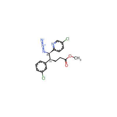 COC(=O)CC[C@@H](c1cccc(Cl)c1)[C@@H](N=[N+]=[N-])c1ccc(Cl)cn1